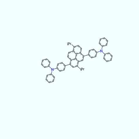 CC(C)c1ccc2c(-c3ccc(N(c4ccccc4)c4ccccc4)cc3)cc3c(C(C)C)cc(-c4ccc(N(c5ccccc5)c5ccccc5)cc4)c4ccc1c2c43